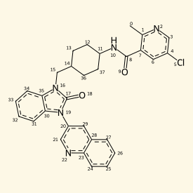 Cc1ncc(Cl)cc1C(=O)NC1CCC(Cn2c(=O)n(-c3cnc4ccccc4c3)c3ccccc32)CC1